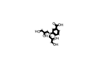 O=C(O)c1cccc(N(CC(O)CO)CC(O)CO)c1